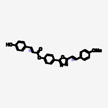 COc1ccc(/C=C/c2nnc(-c3ccc(OC(=O)/C=C/c4ccc(O)cc4)cc3)o2)cc1